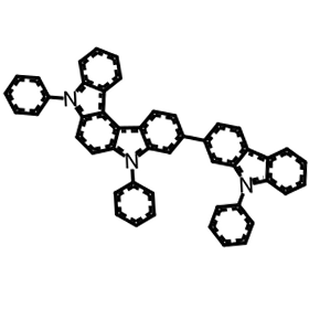 c1ccc(-n2c3ccccc3c3ccc(-c4ccc5c6c7c8ccccc8n(-c8ccccc8)c7ccc6n(-c6ccccc6)c5c4)cc32)cc1